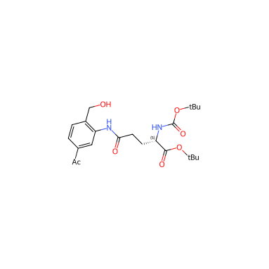 CC(=O)c1ccc(CO)c(NC(=O)CC[C@H](NC(=O)OC(C)(C)C)C(=O)OC(C)(C)C)c1